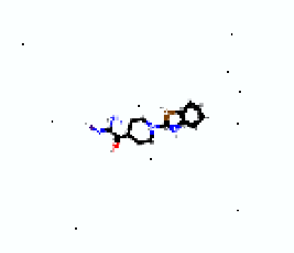 N/C(=N\I)C(=O)C1CCN(c2nc3ccccc3s2)CC1